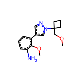 COCC1(n2cc(-c3cccc(N)c3OC)cn2)CCC1